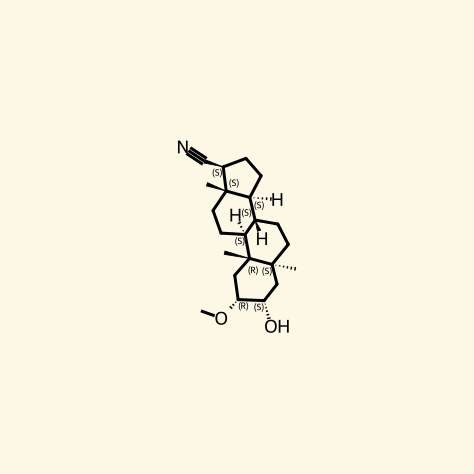 CO[C@@H]1C[C@]2(C)[C@H]3CC[C@]4(C)[C@@H](C#N)CC[C@H]4[C@@H]3CC[C@@]2(C)C[C@@H]1O